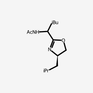 CCC(C)C(NC(C)=O)C1=N[C@H](CC(C)C)CO1